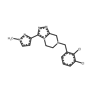 Cn1ccc(-c2nnc3n2CCN(Cc2cccc(Cl)c2Cl)C3)n1